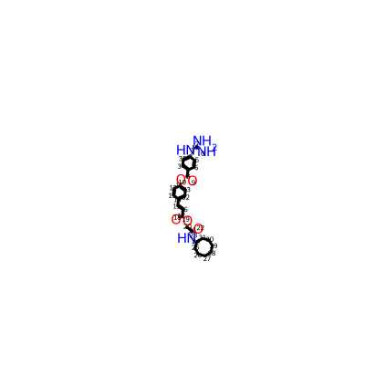 N=C(N)Nc1ccc(C(=O)Oc2ccc(/C=C/C(=O)OCC(=O)NC3CCCCCCC3)cc2)cc1